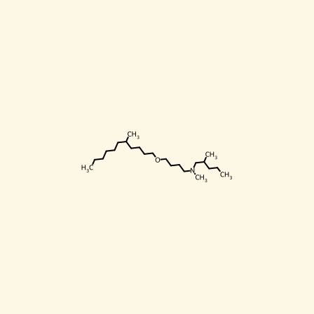 CCCCCCC(C)CCCCOCCCCN(C)CC(C)CCC